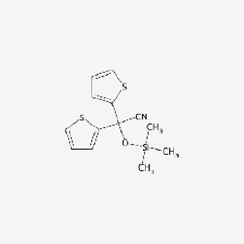 C[Si](C)(C)OC(C#N)(c1cccs1)c1cccs1